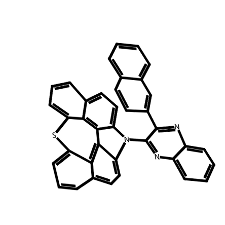 c1ccc2cc(-c3nc4ccccc4nc3-n3c4ccc5cccc6sc7cccc8ccc3c(c87)c4c56)ccc2c1